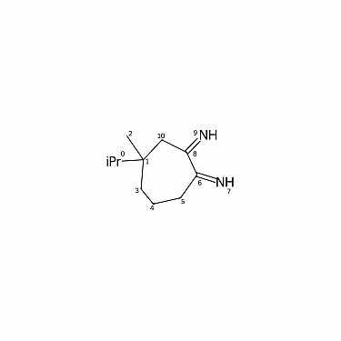 CC(C)C1(C)CCCC(=N)C(=N)C1